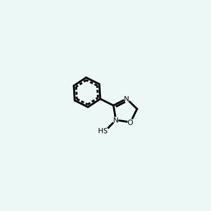 SN1OCN=C1c1ccccc1